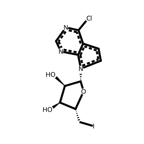 O[C@@H]1[C@H](O)[C@@H](CI)O[C@H]1n1ccc2c(Cl)ncnc21